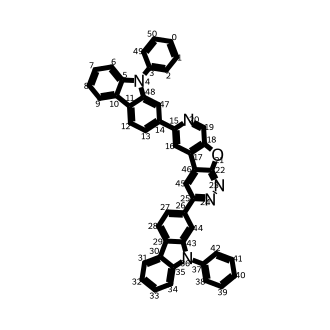 c1ccc(-n2c3ccccc3c3ccc(-c4cc5c(cn4)oc4nnc(-c6ccc7c8ccccc8n(-c8ccccc8)c7c6)cc45)cc32)cc1